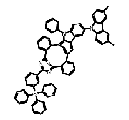 Cc1ccc2c(c1)c1cc(C)ccc1n2-c1ccc2c(c1)c1cc3cc(c4ccccc4c4nc(-c5cccc([Si](c6ccccc6)(c6ccccc6)c6ccccc6)c5)nc(n4)c4ccccc34)c1n2-c1ccccc1